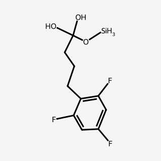 OC(O)(CCCc1c(F)cc(F)cc1F)O[SiH3]